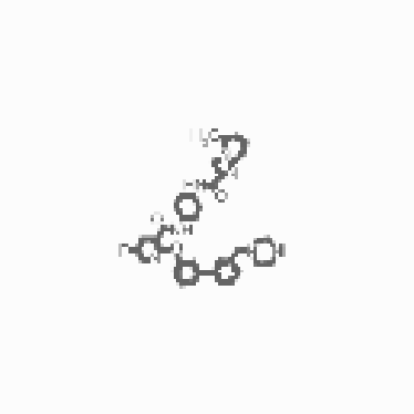 Cc1cccc2nc(C(=O)N[C@H]3CC[C@@H](NC(=O)c4cc(F)cnc4Oc4cccc(-c5cccc(CN6CCNCC6)c5)c4)CC3)cn12